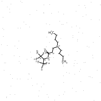 CCCCN(CCCC)CCC(=O)OC(C(F)(F)F)C(F)(F)F